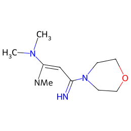 CN/C(=C\C(=N)N1CCOCC1)N(C)C